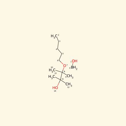 BO.CCCCCOC(C)(C)C(C)(C)O